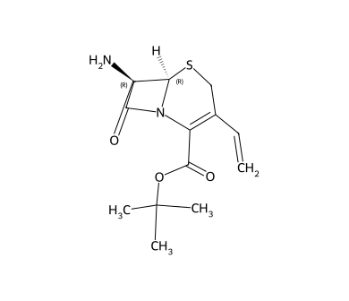 C=CC1=C(C(=O)OC(C)(C)C)N2C(=O)[C@@H](N)[C@H]2SC1